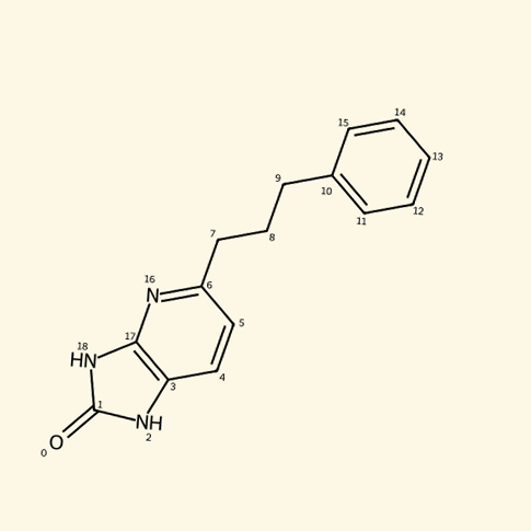 O=c1[nH]c2ccc(CCCc3ccccc3)nc2[nH]1